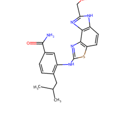 CC(C)Cc1ccc(C(N)=O)cc1Nc1nc2c(ccc3[nH]c(CO)nc32)s1